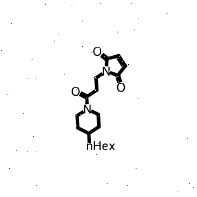 CCCCCCC1CCN(C(=O)CCN2C(=O)C=CC2=O)CC1